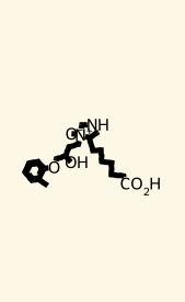 Cc1ccccc1OCC(O)CC[N+]1([O-])CNCC1CCCCCCC(=O)O